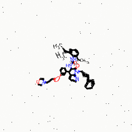 CC(C)c1cccc(C(C)C)c1NC(=O)Nc1c(-c2cccc(OCCN3CCOCC3)c2)c2cccnc2n(CCCc2ccccc2)c1=O